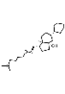 CN(C)CCCCO/N=C/[C@H]1CC[C@]2(O)C[C@@H](C3CCCCC3)CC[C@]12C